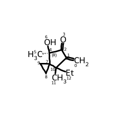 C=C1C(=O)[C@](C)(O)C2(CC2)C1(C)CC